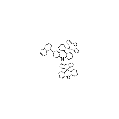 c1ccc2c(c1)Oc1ccccc1C21c2ccccc2-c2c(N(c3ccc(-c4cccc5ccccc45)cc3)c3cccc4c3-c3ccccc3C43c4ccccc4Oc4ccccc43)cccc21